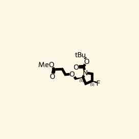 COC(=O)CCOC[C@@H]1C[C@H](F)CN1C(=O)OC(C)(C)C